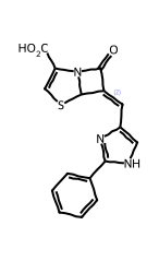 O=C(O)C1=CSC2/C(=C\c3c[nH]c(-c4ccccc4)n3)C(=O)N12